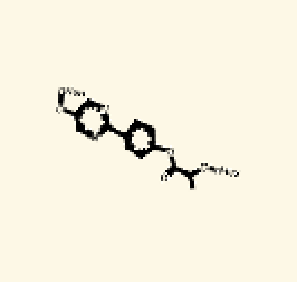 CCCCCCCCCOc1cnc(-c2ccc(OC(=O)C(C)OCCCCCC)cc2)nc1